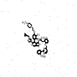 COc1ccccc1-c1nccc(COc2ccccc2CC(Oc2nsc3cnc(-c4cnn(CC5CC5)c4)c(-c4ccc(OCCN5CCN(C)CC5)c(Cl)c4C)c23)C(=O)O)n1